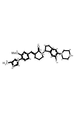 COc1cc(/C=C2\CCCN([C@H]3CCc4cc(N5CCOCC5)c(F)cc43)C2=O)ccc1-n1cnc(C)c1